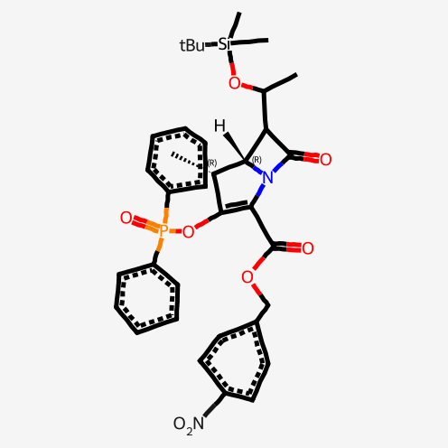 CC(O[Si](C)(C)C(C)(C)C)C1C(=O)N2C(C(=O)OCc3ccc([N+](=O)[O-])cc3)=C(OP(=O)(c3ccccc3)c3ccccc3)[C@H](C)[C@H]12